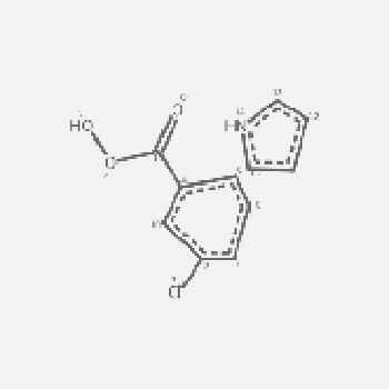 O=C(OO)c1cccc(Cl)c1.c1cc[nH]c1